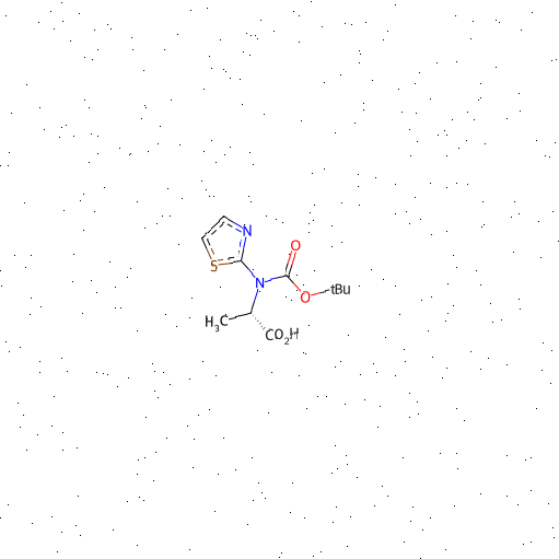 C[C@@H](C(=O)O)N(C(=O)OC(C)(C)C)c1nccs1